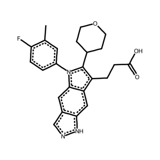 Cc1cc(-n2c(C3CCOCC3)c(CCC(=O)O)c3cc4[nH]ncc4cc32)ccc1F